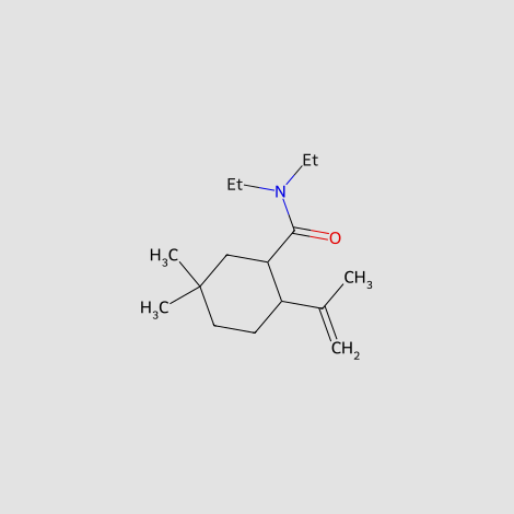 C=C(C)C1CCC(C)(C)CC1C(=O)N(CC)CC